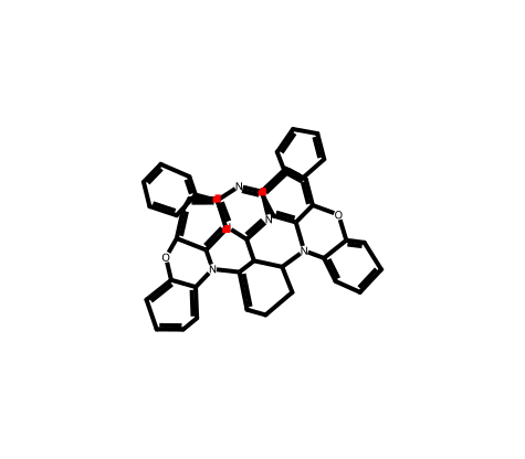 C1=C(N2c3ccccc3Oc3ccccc32)C(c2nc(-c3ccccc3)nc(-c3ccccc3)n2)C(N2c3ccccc3Oc3ccccc32)CC1